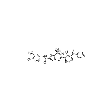 C[C@@H](NC(=O)c1ncnc(Nc2ccncc2)c1Cl)c1ncc(C(=O)Nc2cc(C(F)(F)F)c(Cl)cn2)s1